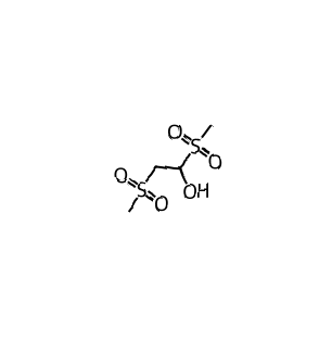 CS(=O)(=O)CC(O)S(C)(=O)=O